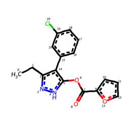 CCc1n[nH]c(OC(=O)c2ccco2)c1-c1cccc(Cl)c1